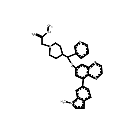 C=C(CN1CCC(C(Nc2cc(-c3ccc4ccn(C)c4c3)c3nccnc3c2)c2cccnc2)CC1)NC